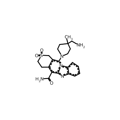 CC1(CN)CCN(c2c3c(c(C(N)=O)c4nc5ccccc5n24)CCS(=O)(=O)C3)CC1